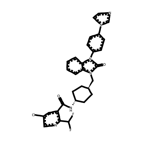 O=C(N[C@H]1CC[C@H](Cn2c(=O)n(-c3ccc(-n4ccnc4)cc3)c3ccccc32)CC1)c1cc(Cl)cnc1C(F)F